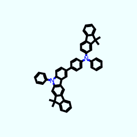 CC1(C)c2ccccc2-c2ccc(N(c3ccccc3)c3ccc(C4=CC5c6cc7c(cc6N(c6ccccc6)C5C=C4)C(C)(C)c4ccccc4-7)cc3)cc21